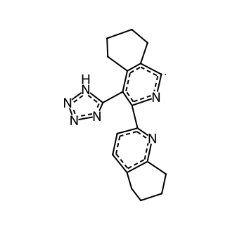 [c]1nc(-c2ccc3c(n2)CCCC3)c(-c2nnn[nH]2)c2c1CCCC2